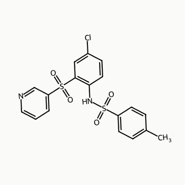 Cc1ccc(S(=O)(=O)Nc2ccc(Cl)cc2S(=O)(=O)c2cccnc2)cc1